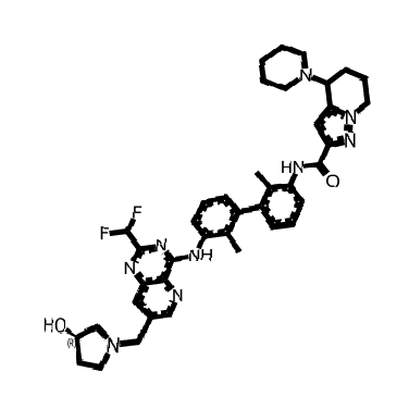 Cc1c(NC(=O)c2cc3n(n2)CCCC3N2CCCCC2)cccc1-c1cccc(Nc2nc(C(F)F)nc3cc(CN4CC[C@@H](O)C4)cnc23)c1C